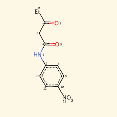 CCC(=O)CC(=O)Nc1ccc([N+](=O)[O-])cc1